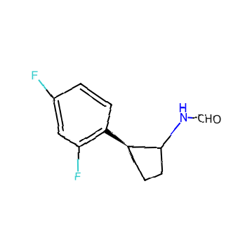 O=CNC1CC[C@H]1c1ccc(F)cc1F